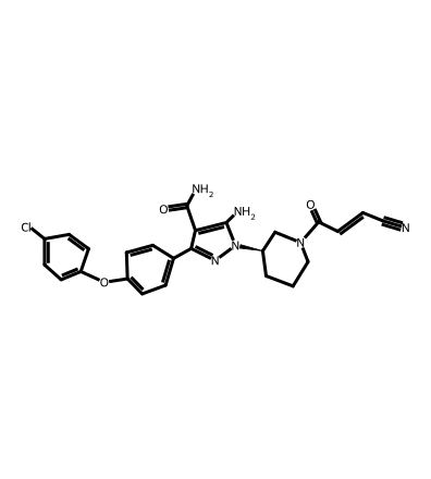 N#CC=CC(=O)N1CCC[C@@H](n2nc(-c3ccc(Oc4ccc(Cl)cc4)cc3)c(C(N)=O)c2N)C1